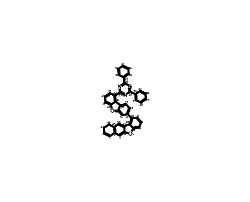 C1=Cc2cc3oc4cccc(-c5ccc6c(c5)oc5cccc(-c7nc(-c8ccccc8)nc(-c8ccccc8)n7)c56)c4c3cc2CC1